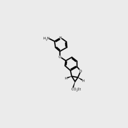 CCOC(=O)[C@@H]1[C@H]2Oc3ccc(Oc4ccnc(N)c4)cc3[C@H]21